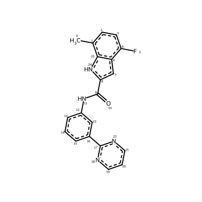 Cc1ccc(F)c2cc(C(=O)Nc3cccc(-c4ncccn4)c3)[nH]c12